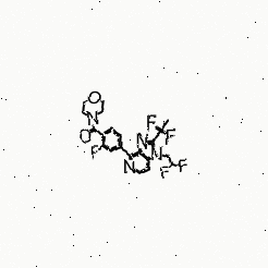 CC(F)(F)c1nc2c(-c3ccc(C(=O)N4CCOCC4)c(F)c3)nccc2n1CC(F)F